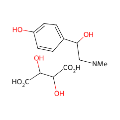 CNCC(O)c1ccc(O)cc1.O=C(O)C(O)C(O)C(=O)O